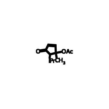 CC(=O)OC1(C)C=CC(=O)C1C(C)C